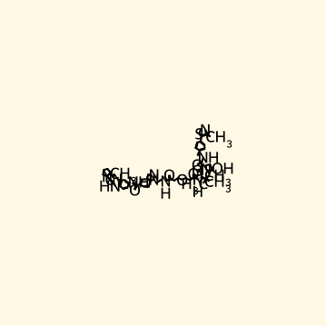 Cc1ncsc1-c1ccc(CNC(=O)[C@@H]2C[C@@H](O)CN2C(=O)[C@@H](NC(=O)CCOCCC(=O)NCCn2ncc3cc(C(=O)Nc4ccc5[nH]c(CN6CCC[C@@H]6C)nc5c4)ccc32)C(C)(C)C)cc1